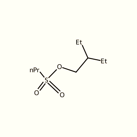 CCCS(=O)(=O)OCC(CC)CC